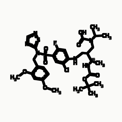 COc1ccc(CN(c2ncns2)S(=O)(=O)c2cc(Cl)c(NCC(CN(C(=O)O)C(C)C)[C@@H](C)NC(=O)OC(C)(C)C)cc2F)c(OC)c1